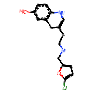 Oc1ccc2c(c1)CC(CCNCC1CC=C(Cl)O1)=CN2